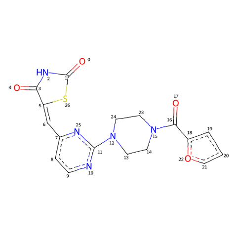 O=C1NC(=O)C(=Cc2ccnc(N3CCN(C(=O)c4ccco4)CC3)n2)S1